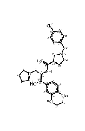 C=C(N[C@H](CN1CCCC1)[C@H](O)c1ccc2c(c1)OCCO2)C1CCN(Cc2ccc(Cl)cc2)C1